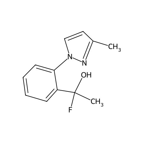 Cc1ccn(-c2ccccc2C(C)(O)F)n1